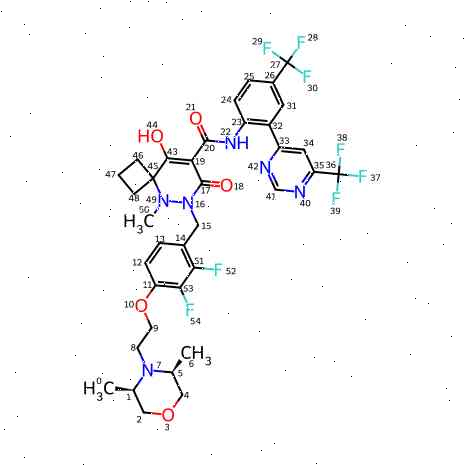 C[C@@H]1COC[C@H](C)N1CCOc1ccc(CN2C(=O)C(C(=O)Nc3ccc(C(F)(F)F)cc3-c3cc(C(F)(F)F)ncn3)=C(O)C3(CCC3)N2C)c(F)c1F